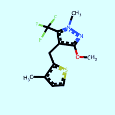 COc1nn(C)c(C(F)(F)F)c1Cc1sccc1C